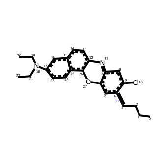 CCC/C=c1/cc2c(cc1Cl)=Nc1ccc3cc(N(CC)CC)ccc3c1O2